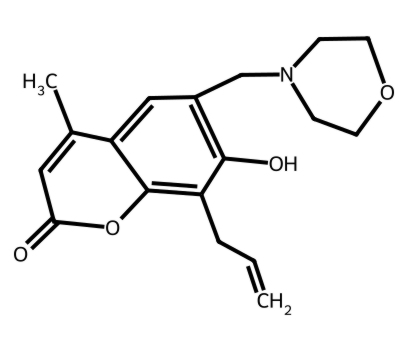 C=CCc1c(O)c(CN2CCOCC2)cc2c(C)cc(=O)oc12